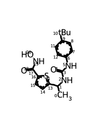 CC(NC(=O)Nc1ccc(C(C)(C)C)cc1)c1ccc(C(=O)NO)s1